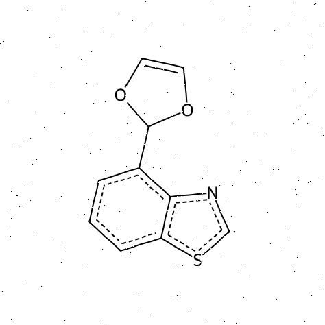 [c]1nc2c(C3OC=CO3)cccc2s1